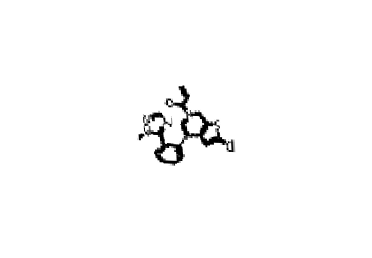 C=CC(=O)N1Cc2sc(Cl)cc2[C@@H](c2ccccc2-c2ncnn2C)C1